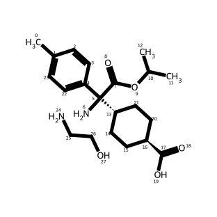 Cc1ccc(C(N)(C(=O)OC(C)C)[C@H]2CC[C@H](C(=O)O)CC2)cc1.NCCO